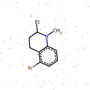 CCC1CCc2c(Br)cccc2N1C